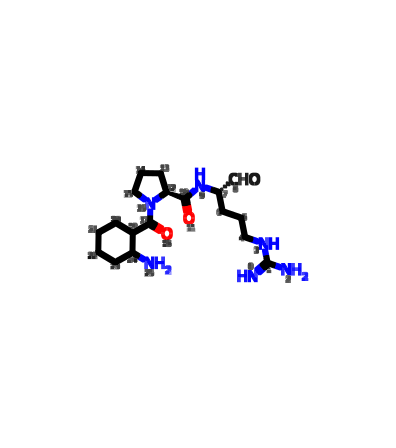 N=C(N)NCCC[C@@H](C=O)NC(=O)[C@@H]1CCCN1C(=O)C1CCCCC1N